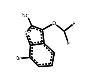 N#Cc1sc2c(Br)cccc2c1OC(F)F